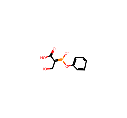 O=C(O)/C(CO)=[P+](\[O-])Oc1ccccc1